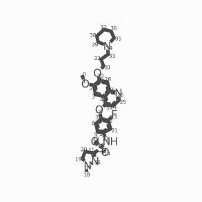 COc1cc2c(Oc3ccc(NS(=O)(=O)C4=NN(C)CC4)cc3F)ccnc2cc1OCCCN1CCCCC1